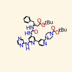 CC(C)(C)OC(=O)C[C@H](Cc1ccccc1)NC(=O)Nc1cc(Nc2cnccn2)nc(-c2ccnc(N3CCN(C(=O)OC(C)(C)C)CC3)c2)c1